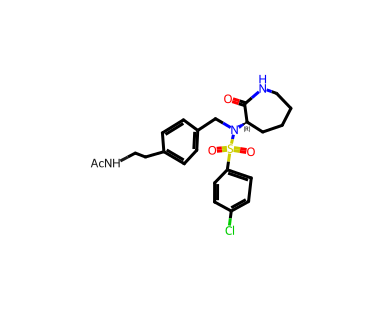 CC(=O)NCCc1ccc(CN([C@@H]2CCCCNC2=O)S(=O)(=O)c2ccc(Cl)cc2)cc1